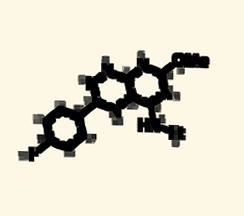 CCNc1nc(OC)nc2nnc(-c3ccc(F)cc3)nc12